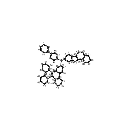 c1ccc(-c2ccc(N(c3ccc4c(c3)oc3c5ccccc5ccc43)c3ccc4c(c3)c(-c3ccccc3)c(-c3ccccc3)c3ccccc34)cc2)cc1